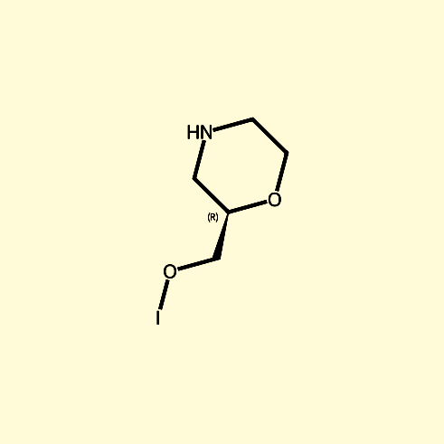 IOC[C@H]1CNCCO1